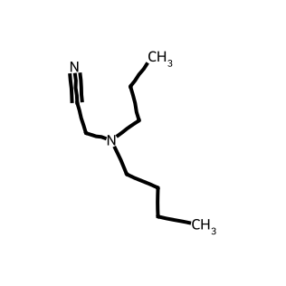 CCCCN(CC#N)CCC